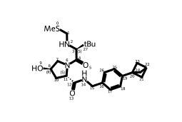 CSCN[C@H](C(=O)N1C[C@H](O)C[C@H]1C(=O)NCc1ccc(C23CC(C2)C3)cc1)C(C)(C)C